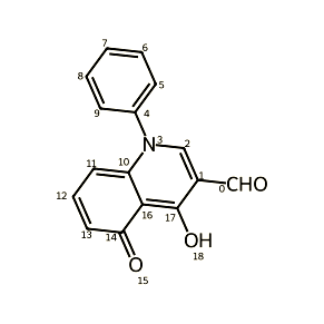 O=Cc1cn(-c2ccccc2)c2cccc(=O)c-2c1O